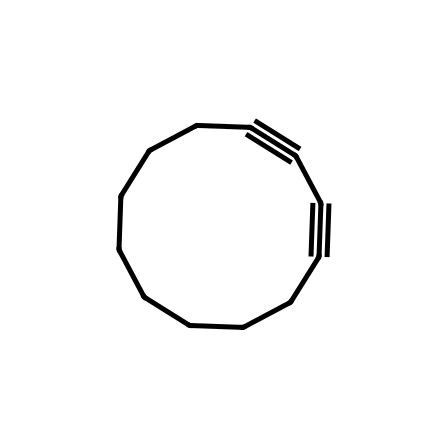 C1#CCCCCCCCCC#C1